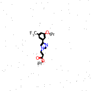 CC(C)OC(=O)/C=C/n1cnc(-c2cc(OC(C)C)cc(C(F)(F)F)c2)c1